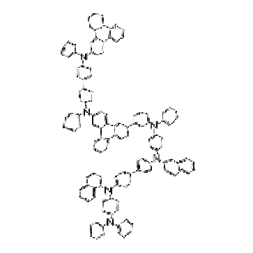 c1ccc(N(c2ccccc2)c2ccc(N(c3ccc(-c4ccc(N(c5ccc(N(c6ccccc6)c6cccc(-c7ccc8c9ccccc9c9cc(N(c%10ccccc%10)c%10ccc(-c%11ccc(N(c%12ccccc%12)c%12ccc%13c%14ccccc%14c%14ccccc%14c%13c%12)cc%11)cc%10)ccc9c8c7)c6)cc5)c5ccc6ccccc6c5)cc4)cc3)c3cccc4ccccc34)cc2)cc1